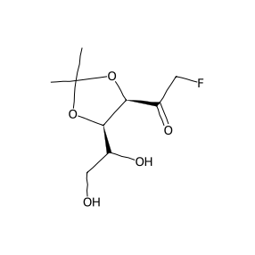 CC1(C)O[C@H](C(O)CO)[C@H](C(=O)CF)O1